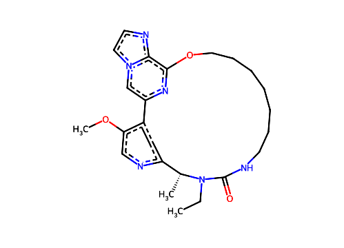 CCN1C(=O)NCCCCCCCOc2nc(cn3ccnc23)-c2cc(ncc2OC)[C@H]1C